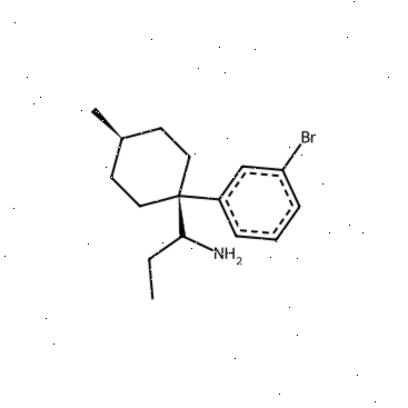 CCC(N)[C@]1(c2cccc(Br)c2)CC[C@H](C)CC1